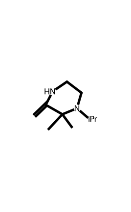 C=C1NCCN(C(C)C)C1(C)C